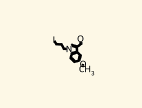 COc1ccc2c(c1)c(C=O)cn2CCCI